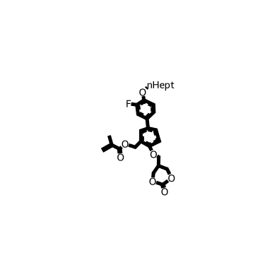 C=C(C)C(=O)OCc1cc(-c2ccc(OCCCCCCC)c(F)c2)ccc1OCC1COC(=O)OC1